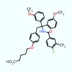 O=C(O)CCCCOc1ccc(CC(NC(=O)c2ccc(F)c(C(F)(F)F)c2)(c2cccc(OC(F)(F)F)c2)c2cccc(OC(F)(F)F)c2)cc1